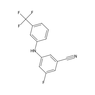 N#Cc1cc(F)cc(Nc2cccc(C(F)(F)F)c2)c1